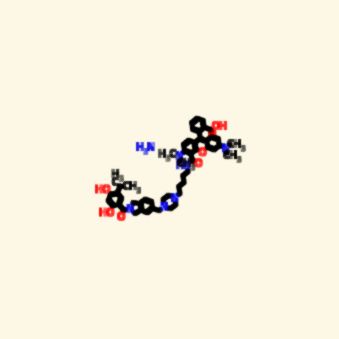 CC(C)c1cc(C(=O)N2Cc3ccc(CN4CCN(CCCCCNC(=O)c5c(N(C)C)ccc6c5OC5=CC(N(C)C)C=CC5=C6c5ccccc5C(=O)O)CC4)cc3C2)c(O)cc1O.N